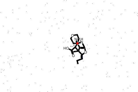 CC/C=C1/OC2=C(N3CCOCC3)C1(C)[C@@](C)(C(=O)O)C(N)N2